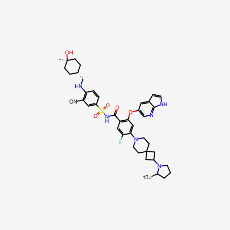 CC(C)(C)C1CCCN1C1CC2(CCN(c3cc(Oc4cnc5[nH]ccc5c4)c(C(=O)NS(=O)(=O)c4ccc(NC[C@H]5CC[C@](C)(O)CC5)c(N=O)c4)cc3F)CC2)C1